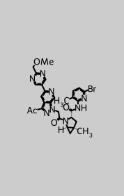 COCc1ncc(-c2cc3c(C(C)=O)nn(CC(=O)N4[C@H](C(=O)Nc5nc(Br)ccc5C)C[C@@]5(C)C[C@@H]45)c3cn2)cn1